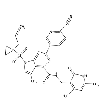 C=CCC1(S(=O)(=O)n2cc(C)c3c(C(=O)NCc4c(C)cc(C)[nH]c4=O)cc(-c4ccc(C#N)nc4)cc32)CC1